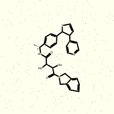 C[C@@H](NC(=O)C(O)C(O)C(=O)N1Cc2ccccc2C1)c1ccc(C2SC=CC2c2ccncc2)cc1